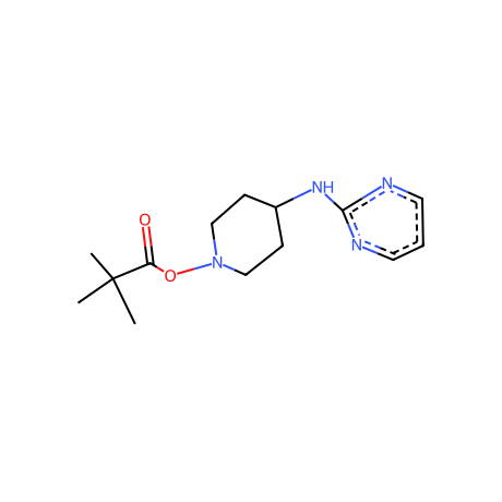 CC(C)(C)C(=O)ON1CCC(Nc2ncccn2)CC1